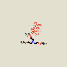 O=P(O)(O)O.O=P(O)(O)O.O=[N+]([O-])OCCN(CCO[N+](=O)[O-])CCO[N+](=O)[O-].[Al+3]